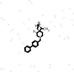 CC(C)[C@]1(CC#N)CCN(Cc2ccc(-c3ccccc3)cc2)C[C@@H]1F